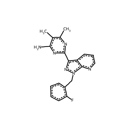 Cc1nc(-c2nn(Cc3ccccc3F)c3ncccc23)nc(N)c1C